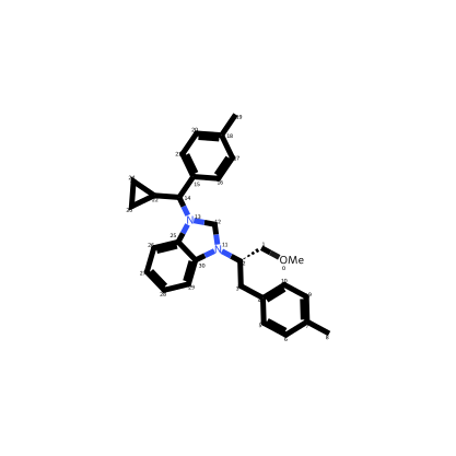 COC[C@H](Cc1ccc(C)cc1)N1CN(C(c2ccc(C)cc2)C2CC2)c2ccccc21